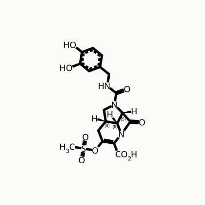 CS(=O)(=O)OC1=C(C(=O)O)N2C(=O)[C@@H]3[C@H]2[C@H](C1)CN3C(=O)NCc1ccc(O)c(O)c1